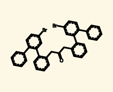 O=C(Cc1ccccc1-c1cc(Br)ccc1-c1ccccc1)Cc1ccccc1-c1cc(Br)ccc1-c1ccccc1